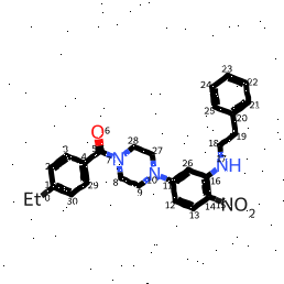 CCc1ccc(C(=O)N2CCN(c3ccc([N+](=O)[O-])c(NCCc4ccccc4)c3)CC2)cc1